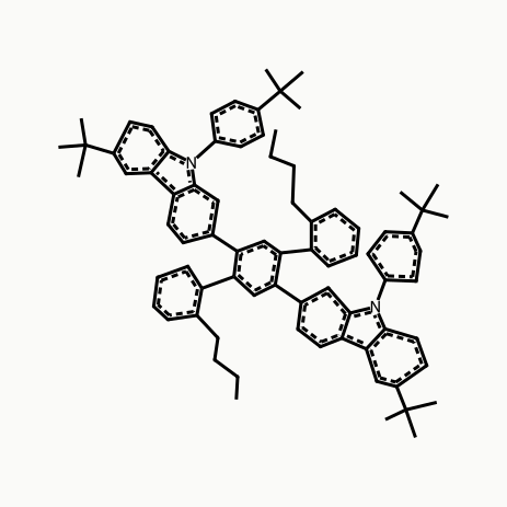 CCCCc1ccccc1-c1cc(-c2ccc3c4cc(C(C)(C)C)ccc4n(-c4ccc(C(C)(C)C)cc4)c3c2)c(-c2ccccc2CCCC)cc1-c1ccc2c3cc(C(C)(C)C)ccc3n(-c3ccc(C(C)(C)C)cc3)c2c1